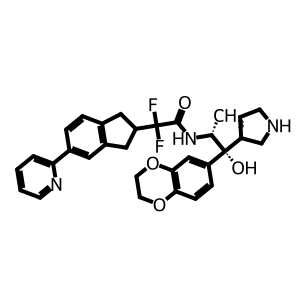 C[C@@H](NC(=O)C(F)(F)C1Cc2ccc(-c3ccccn3)cc2C1)[C@](O)(c1ccc2c(c1)OCCO2)C1CCNC1